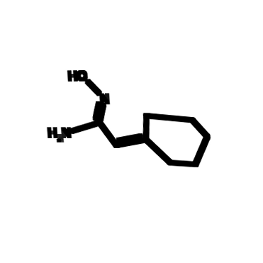 NC(C=C1CCCCC1)=NO